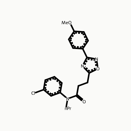 CCCN(C(=O)CCc1nc(-c2ccc(OC)cc2)no1)c1cccc(Cl)c1